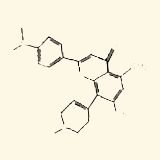 COc1cc(OC)c2c(=O)cc(-c3ccc(N(C)C)cc3)oc2c1C1=CCN(C)CC1